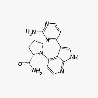 NC(=O)[C@@H]1CCCN1c1ccnc2[nH]cc(-c3ccnc(N)n3)c12